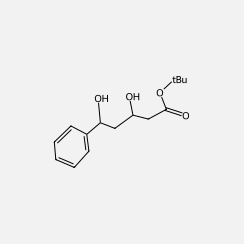 CC(C)(C)OC(=O)CC(O)CC(O)c1ccccc1